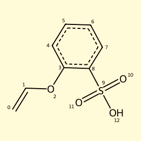 C=COc1ccccc1S(=O)(=O)O